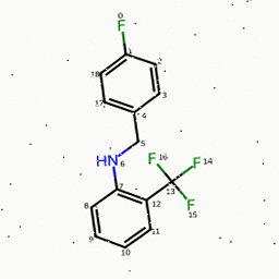 Fc1ccc(CNc2[c]cccc2C(F)(F)F)cc1